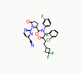 N#Cc1ccnc(N2C(=O)CC[C@H]2C(=O)N(c2cccc(F)c2)[C@H](C(=O)CCC2CC(F)(F)C2)c2ccccc2Cl)n1